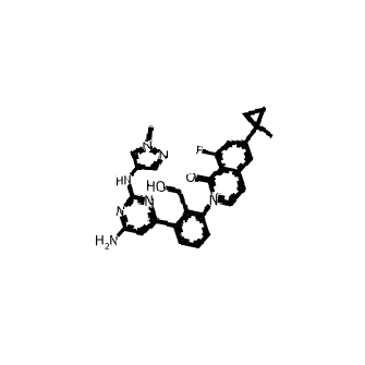 Cn1cc(Nc2nc(N)cc(-c3cccc(-n4ccc5cc(C6(C)CC6)cc(F)c5c4=O)c3CO)n2)cn1